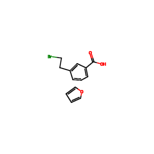 O=C(O)c1cccc(CCBr)c1.c1ccoc1